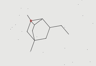 CCC1CC2(C)CC(C)C1C(C)C2